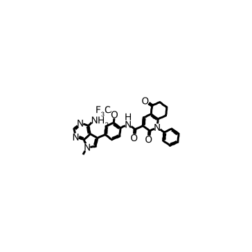 Cn1cc(-c2ccc(NC(=O)c3cc4c(n(-c5ccccc5)c3=O)CCCC4=O)c(OC(F)(F)F)c2)c2c(N)ncnc21